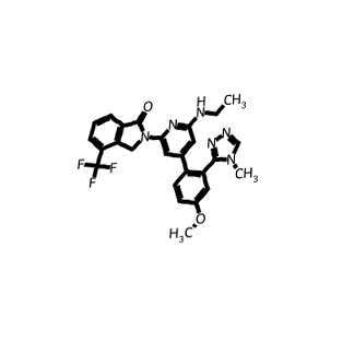 CCNc1cc(-c2ccc(OC)cc2-c2nncn2C)cc(N2Cc3c(cccc3C(F)(F)F)C2=O)n1